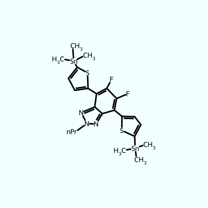 CCCn1nc2c(-c3cc[c]([Sn]([CH3])([CH3])[CH3])s3)c(F)c(F)c(-c3cc[c]([Sn]([CH3])([CH3])[CH3])s3)c2n1